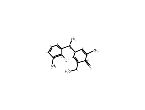 CCC1=CC([C@H](C)c2cccc(C)c2O)C=C(C)C1=O